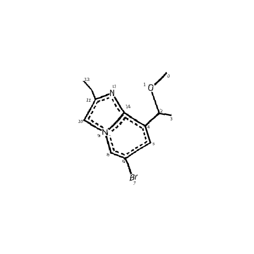 COC(C)c1cc(Br)cn2cc(C)nc12